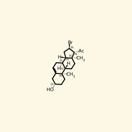 CC(=O)[C@H]1[C@H](Br)C[C@H]2[C@@H]3CC=C4C[C@@H](O)CC[C@]4(C)[C@H]3CC[C@@]21C